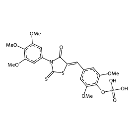 COc1cc(N2C(=O)C(=Cc3cc(OC)c(OP(=O)(O)O)c(OC)c3)SC2=S)cc(OC)c1OC